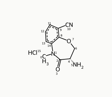 CN1C(=O)[C@@H](N)COc2c(C#N)cccc21.Cl